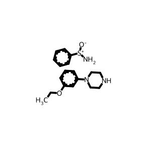 CCOc1cccc(N2CCNCC2)c1.N[S+]([O-])c1ccccc1